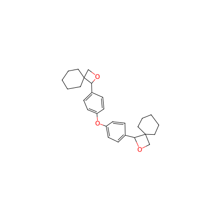 c1cc(C2OCC23CCCCC3)ccc1Oc1ccc(C2OCC23CCCCC3)cc1